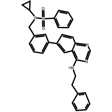 O=S(=O)(c1ccccc1)N(Cc1cccc(-c2ccc3ncnc(NCCc4ccccc4)c3c2)c1)C1CC1